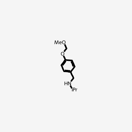 COCOc1ccc(CNC(C)C)cc1